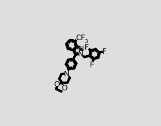 Fc1cc(F)c(Cn2nc3c(C(F)(F)F)cccc3c2-c2ccc(N3CCC4(CC3)OCCO4)cc2)c(F)c1